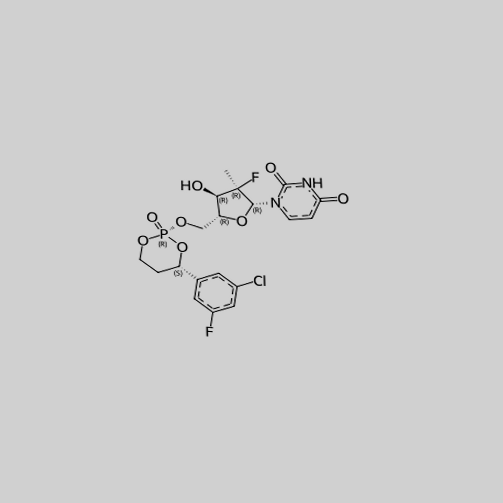 C[C@@]1(F)[C@H](O)[C@@H](CO[P@@]2(=O)OCC[C@@H](c3cc(F)cc(Cl)c3)O2)O[C@H]1n1ccc(=O)[nH]c1=O